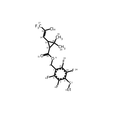 CCSc1c(F)c(F)c(COC(=O)C2C(C=C(Cl)C(F)(F)F)C2(C)C)c(F)c1F